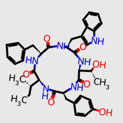 CC[C@H](C)[C@@H]1NC(=O)[C@H](Cc2ccc(O)cc2)NC(=O)[C@H]([C@@H](C)O)NC(=O)[C@H](Cc2c[nH]c3ccccc23)NC(=O)[C@H](Cc2ccccc2)NC1=O